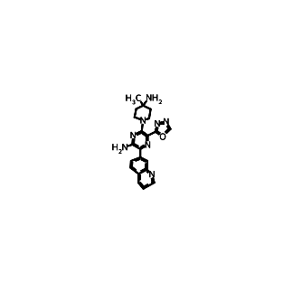 CC1(N)CCN(c2nc(N)c(-c3ccc4cccnc4c3)nc2-c2nnco2)CC1